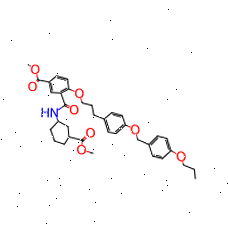 CCCOc1ccc(COc2ccc(CCCOc3ccc(C(=O)OC)cc3C(=O)NC3CCCC(C(=O)OC)C3)cc2)cc1